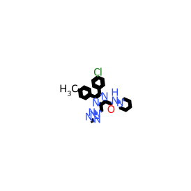 Cc1ccc(-c2nc(Cn3ncnn3)c(C(=O)NN3CCCCC3)nc2-c2ccc(Cl)cc2)cc1